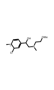 COCCN(C)CC(O)C1=CC(Cl)[C@@H](C)C=C1